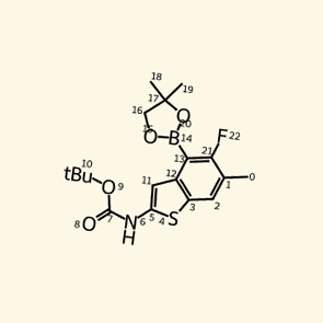 Cc1cc2sc(NC(=O)OC(C)(C)C)cc2c(B2OCC(C)(C)O2)c1F